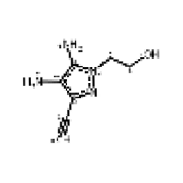 C#Cc1nn(CCO)c(N)c1N